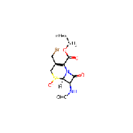 CCCCCC[SiH2]OC(=O)C1=C(CBr)C[S+]([O-])[C@@H]2C(NC=O)C(=O)N12